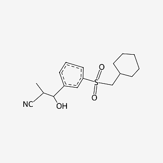 CC(C#N)C(O)c1cccc(S(=O)(=O)CC2CCCCC2)c1